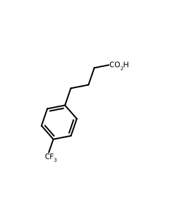 O=C(O)CCCc1ccc(C(F)(F)F)cc1